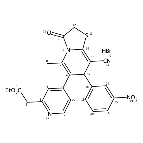 Br.CCOC(=O)Cc1cc(C2=C(C)N3C(=O)CSC3=C(C#N)C2c2cccc([N+](=O)[O-])c2)ccn1